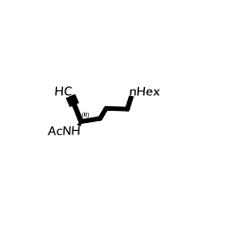 C#C[C@@H](CCCCCCCCC)NC(C)=O